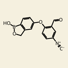 [C-]#[N+]c1ccc(Oc2ccc3c(c2)COB3O)c(C=O)c1